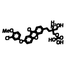 COc1ccc(Oc2ccc3oc4cc(CCC(N)(CO)COP(=O)(O)O)ccc4c(=O)c3c2)cc1Cl